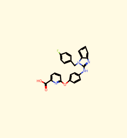 O=C(O)c1cccc(Oc2ccc(Nc3nc4ccccc4n3Cc3ccc(F)cc3)cc2)n1